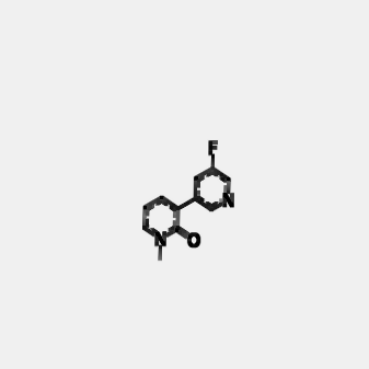 Cn1cccc(-c2cncc(F)c2)c1=O